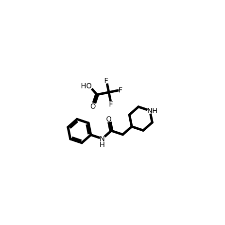 O=C(CC1CCNCC1)Nc1ccccc1.O=C(O)C(F)(F)F